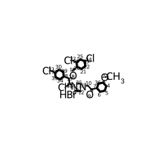 Br.COc1cccc(C(=O)CN2C=CN(C(Cl)C(OCc3ccc(Cl)cc3Cl)c3ccc(Cl)cc3)C2)c1